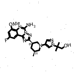 COc1cc(F)cc2c1nc(N)n1nc([C@@H]3C[C@H](C)CN(c4cnn(C(C)(C)CO)c4)C3)nc21